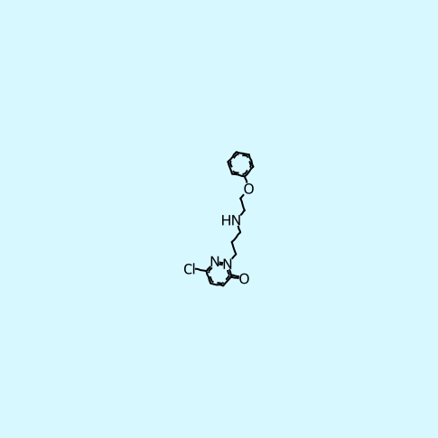 O=c1ccc(Cl)nn1CCCNCCOc1ccccc1